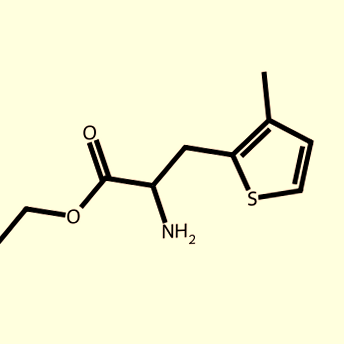 CCOC(=O)C(N)Cc1sccc1C